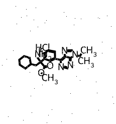 COC(=O)C(CN)(CC1CCCCC1)c1cc(-c2ncnc3c2ncn3C(C)C)ccc1F.Cl